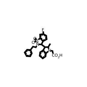 CC1C(C2c3ccc(F)cc3S(=O)(=O)N2CCc2ccccc2)c2ccccc2N1CC(=O)O